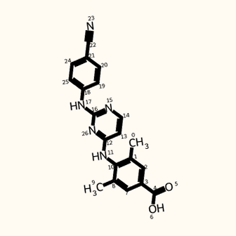 Cc1cc(C(=O)O)cc(C)c1Nc1ccnc(Nc2ccc(C#N)cc2)n1